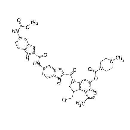 Cc1csc2c(OC(=O)N3CCN(C)CC3)cc3c(c12)C(CCl)CN3C(=O)c1cc2cc(NC(=O)c3cc4cc(NC(=O)OC(C)(C)C)ccc4[nH]3)ccc2[nH]1